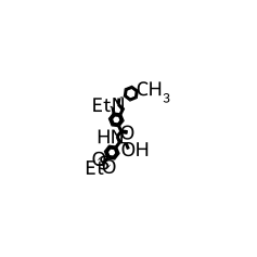 CC[C@H]1c2ccc(C(=O)N[C@@H](CO)c3ccc(S(=O)(=O)CC)cc3)cc2CN1C[C@H]1CC[C@H](C)CC1